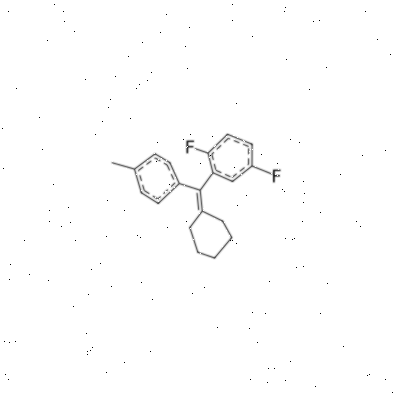 Cc1ccc(C(=C2CCCCC2)c2cc(F)ccc2F)cc1